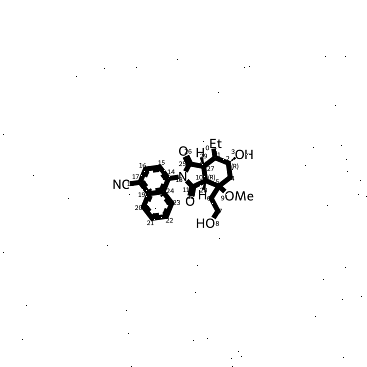 CCC1[C@H](O)CC(CCO)(OC)[C@@H]2C(=O)N(c3ccc(C#N)c4ccccc34)C(=O)[C@H]12